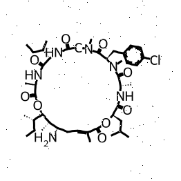 CCC(C)[C@@H]1NC(=O)CN(C)C(=O)[C@@H](Cc2ccc(Cl)cc2)N(C)C(=O)[C@H](C)NC(=O)[C@@H](CC(C)C)OC(=O)/C(C)=C/C[C@H](N)[C@H](C)[C@@H]([C@@H](C)CC)OC(=O)[C@@H](C)NC1=O